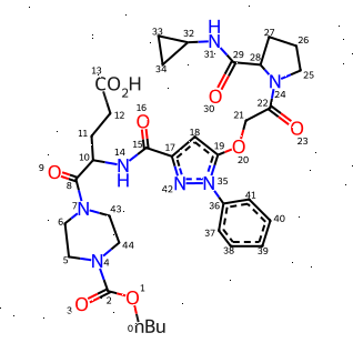 CCCCOC(=O)N1CCN(C(=O)C(CCC(=O)O)NC(=O)c2cc(OCC(=O)N3CCCC3C(=O)NC3CC3)n(-c3ccccc3)n2)CC1